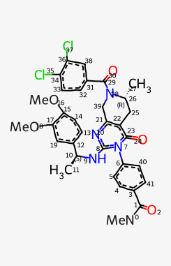 CNC(=O)c1ccc(-n2c(N[C@@H](C)c3ccc(OC)c(OC)c3)nc3c(c2=O)C[C@@H](C)N(C(=O)c2ccc(Cl)c(Cl)c2)C3)cc1